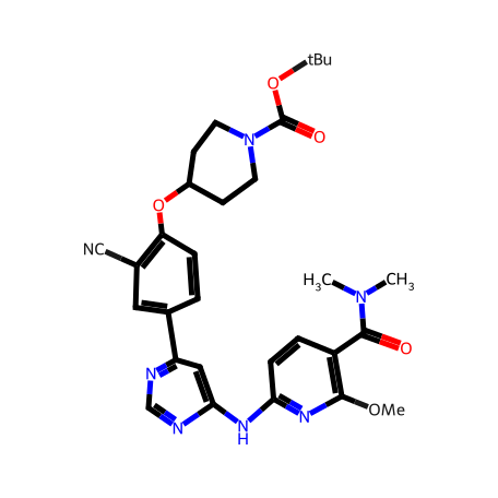 COc1nc(Nc2cc(-c3ccc(OC4CCN(C(=O)OC(C)(C)C)CC4)c(C#N)c3)ncn2)ccc1C(=O)N(C)C